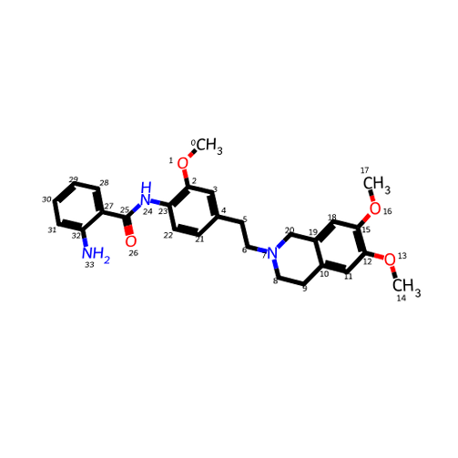 COc1cc(CCN2CCc3cc(OC)c(OC)cc3C2)ccc1NC(=O)c1ccccc1N